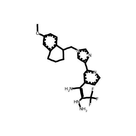 COc1ccc2c(c1)CCCC2Cn1cnc(-c2cc(/C(N)=C(/NN)C(F)(F)F)ccn2)c1